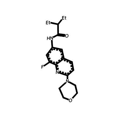 CCC(CC)C(=O)Nc1cc(F)c2nc(N3CCOCC3)ccc2c1